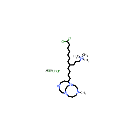 CN1CCCN2CCNCCC(CCCCC(CCCCCCC(Cl)Cl)CCC[N+](C)(C)C)N(CC1)CC2.[Cl-].[Cl-].[Cl-].[Cl-].[Mn+3]